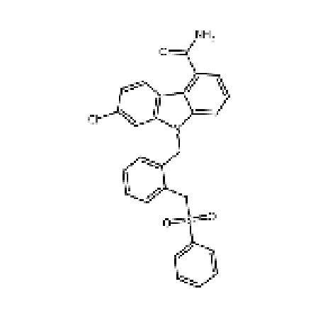 NC(=O)c1cccc2c1c1[c]cc(Cl)cc1n2Cc1ccccc1CS(=O)(=O)c1ccccc1